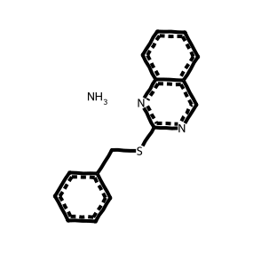 N.c1ccc(CSc2ncc3ccccc3n2)cc1